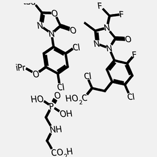 CC(C)Oc1cc(-n2nc(C(C)(C)C)oc2=O)c(Cl)cc1Cl.Cc1nn(-c2cc(CC(Cl)C(=O)O)c(Cl)cc2F)c(=O)n1C(F)F.O=C(O)CNCP(=O)(O)O